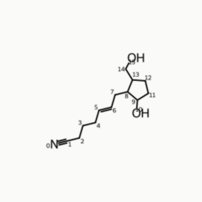 N#CCCCC=CCC1C(O)CCC1CO